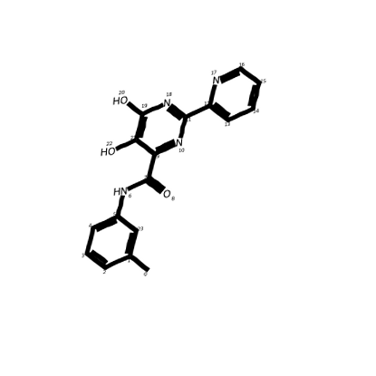 Cc1cccc(NC(=O)c2nc(-c3ccccn3)nc(O)c2O)c1